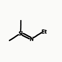 CCN=[Si](C)C